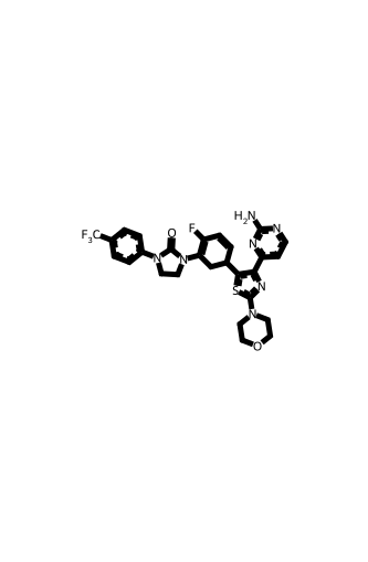 Nc1nccc(-c2nc(N3CCOCC3)sc2C2C=CC(F)=C(N3CCN(c4ccc(C(F)(F)F)cc4)C3=O)C2)n1